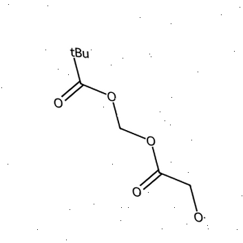 CC(C)(C)C(=O)OCOC(=O)C[O]